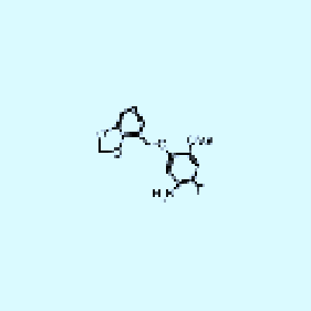 COc1cc(F)c(N)cc1OCc1cccc2c1OCO2